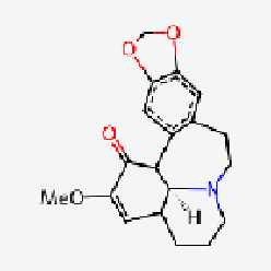 COC1=CC2CCCN3CCc4cc5c(cc4C(C1=O)[C@H]23)OCO5